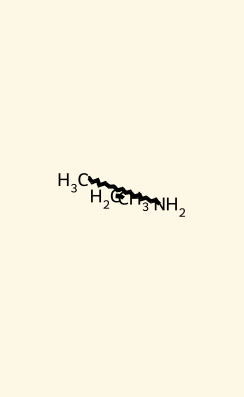 C=CC.CCCCCCCCCCCCCCCCCCN